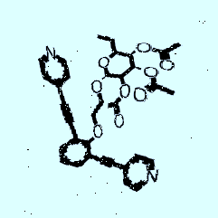 CCC1O[C@@H](OCCOc2c(C#Cc3ccncc3)cccc2C#Cc2ccncc2)C(OC(C)=O)[C@@H](OC(C)=O)[C@@H]1OC(C)=O